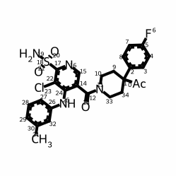 CC(=O)C1(c2ccc(F)cc2)CCN(C(=O)c2cnc(S(N)(=O)=O)c(Cl)c2Nc2cccc(C)c2)CC1